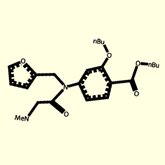 CCCCOC(=O)c1ccc(N(Cc2ccco2)C(=O)CNC)cc1OCCCC